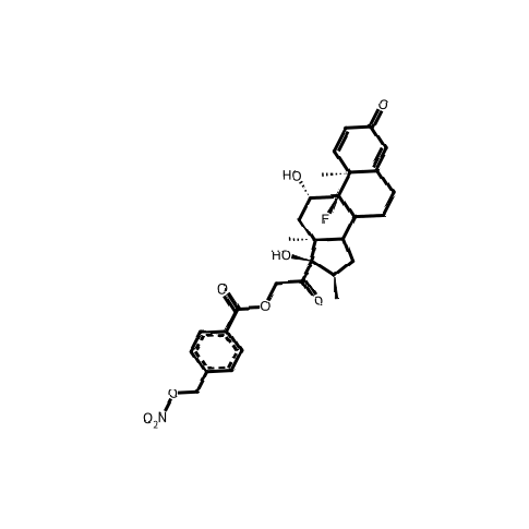 C[C@@H]1CC2C3CCC4=CC(=O)C=C[C@]4(C)[C@@]3(F)[C@@H](O)C[C@]2(C)[C@@]1(O)C(=O)COC(=O)c1ccc(CO[N+](=O)[O-])cc1